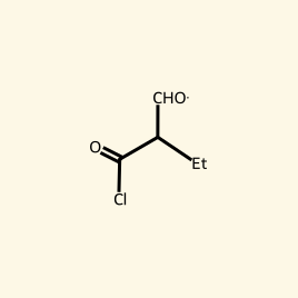 CCC([C]=O)C(=O)Cl